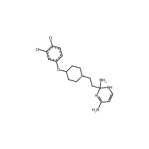 NC1=NC(N)(CCN2CCC(Oc3ccc(Cl)c(Cl)c3)CC2)NC=C1